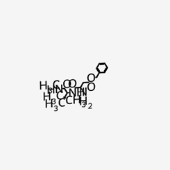 CNC(=O)[C@@H](NC(=O)[C@H](N)CC(=O)OCc1ccccc1)C(C)(C)C